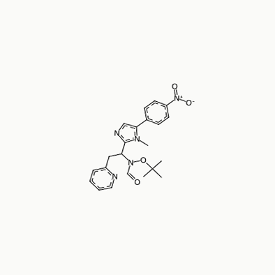 Cn1c(-c2ccc([N+](=O)[O-])cc2)cnc1C(Cc1ccccn1)N(C=O)OC(C)(C)C